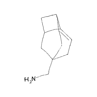 NCC12CC=C3C(CC3C1)C2